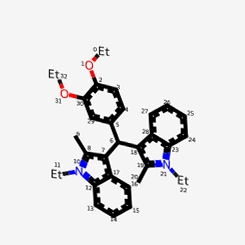 CCOc1ccc(C(c2c(C)n(CC)c3ccccc23)c2c(C)n(CC)c3ccccc23)cc1OCC